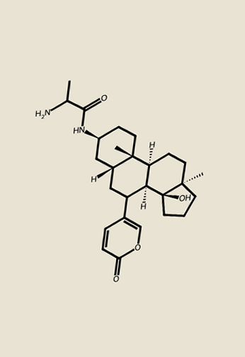 CC(N)C(=O)N[C@H]1CC[C@@]2(C)[C@H](CC(c3ccc(=O)oc3)[C@H]3[C@@H]2CC[C@@]2(C)CCC[C@]32O)C1